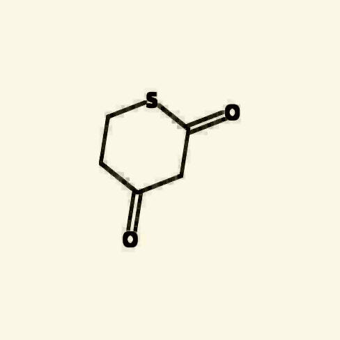 O=C1CCSC(=O)C1